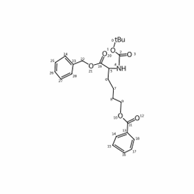 CC(C)(C)OC(=O)NC(CCCCOC(=O)c1ccccc1)C(=O)OCc1ccccc1